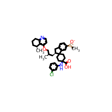 C[C@@H](COc1ccnc2c1[C@H](C)CCC2)C[C@H]1Cc2ccc([S+](C)[O-])cc2C12CCC(Nc1cccc(Cl)c1)(C(=O)O)CC2